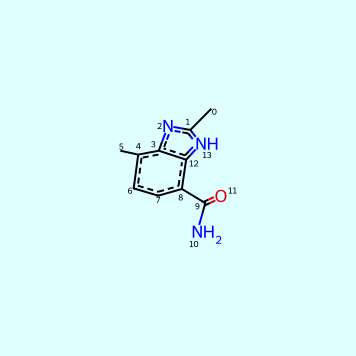 Cc1nc2c(C)ccc(C(N)=O)c2[nH]1